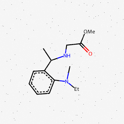 CCN(C)c1ccccc1C(C)NCC(=O)OC